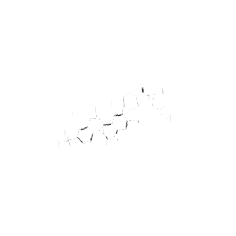 COc1cc2nc(C)nc(N[C@H](C)c3cccc(C(F)(F)F)c3)c2cc1[C@]1(O)CC[C@@H](C(=O)N(C)C[C@H](C)O)CC1